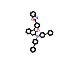 C1=C(N(c2ccc(-c3ccccc3)cc2)c2ccc(-c3ccccc3)cc2)C2Oc3ccc(-c4nc5ccccc5o4)cc3C2c2ccccc21